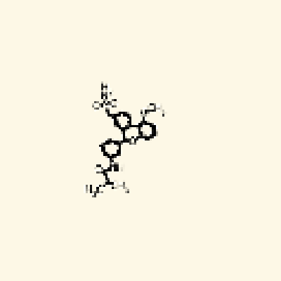 COc1cccc2c1-c1ccc(CS(N)(=O)=O)cc1C(c1cccc(NC(=O)C(C)C)c1)O2